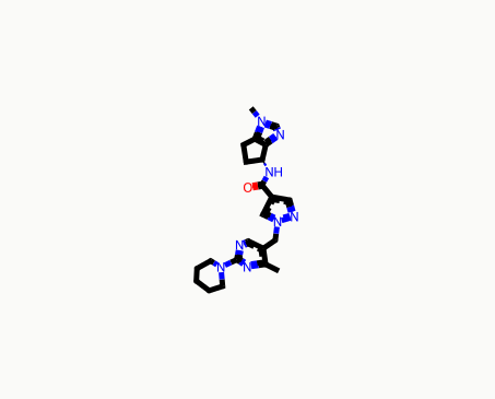 Cc1nc(N2CCCCC2)ncc1Cn1cc(C(=O)N[C@@H]2CCc3c2ncn3C)cn1